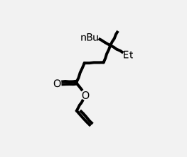 C=COC(=O)CCC(C)(CC)CCCC